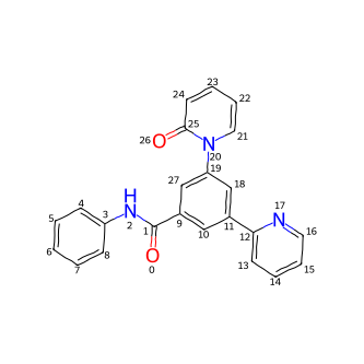 O=C(Nc1ccccc1)c1cc(-c2ccccn2)cc(-n2ccccc2=O)c1